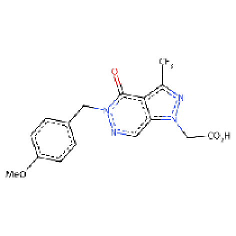 COc1ccc(Cn2ncc3c(c(C(F)(F)F)nn3CC(=O)O)c2=O)cc1